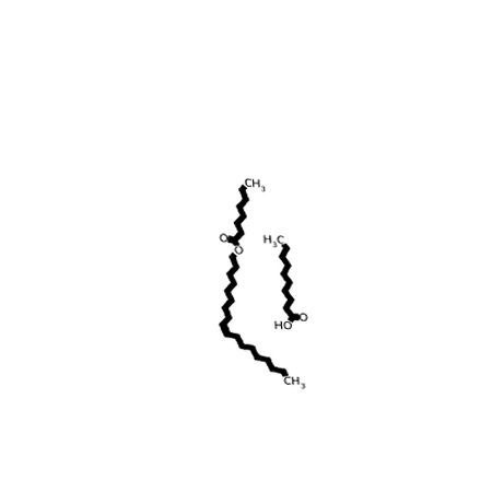 CCCCCCCC/C=C\CCCCCCCCOC(=O)CCCCCCC.CCCCCCCCCC(=O)O